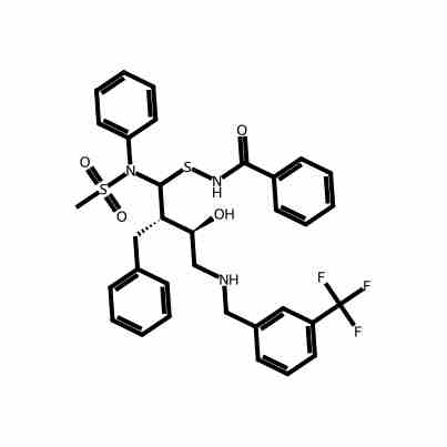 CS(=O)(=O)N(c1ccccc1)C(SNC(=O)c1ccccc1)[C@@H](Cc1ccccc1)[C@@H](O)CNCc1cccc(C(F)(F)F)c1